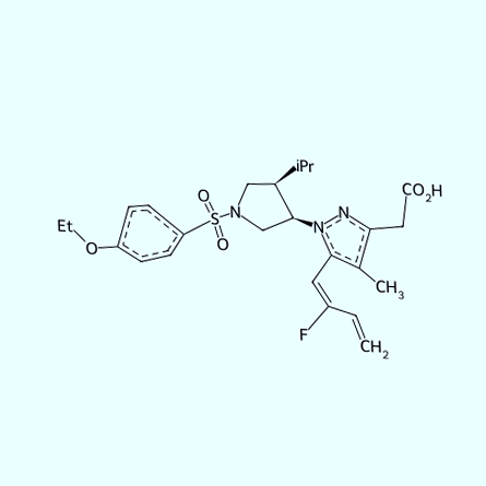 C=C/C(F)=C\c1c(C)c(CC(=O)O)nn1[C@H]1CN(S(=O)(=O)c2ccc(OCC)cc2)C[C@H]1C(C)C